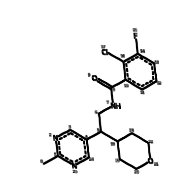 Cc1ncc(C(CNC(=O)c2cccc(F)c2Cl)C2CCOCC2)cn1